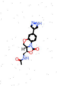 CC(=O)NC[C@@H]1OC(=O)N2c3ccc(-c4cn[nH]c4)cc3OC[C@@H]12